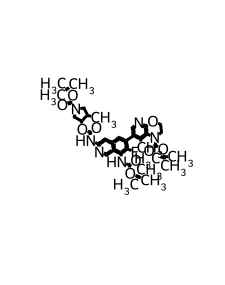 Cc1c(-c2cc3cc(NC(=O)OC4CN(C(=O)OC(C)(C)C)CC4C)ncc3c(NC(=O)OC(C)(C)C)c2F)cnc2c1N(C(=O)OC(C)(C)C)CCO2